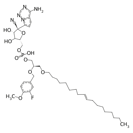 CCCCCCCC/C=C/CCCCCCCCOC[C@H](COP(=O)(O)OC[C@H]1O[C@@](C#N)(c2ccc3c(N)ncnn23)[C@@H](O)C1O)OCc1ccc(OC)c(F)c1